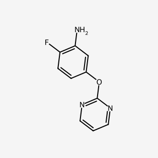 Nc1cc(Oc2ncccn2)ccc1F